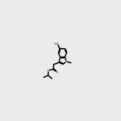 CC(C)OC(=O)Cc1cn(C)c2ccc(O)cc12